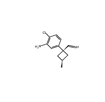 C[C@H]1C[C@](C=N)(c2ccc(Cl)c(N)c2)C1